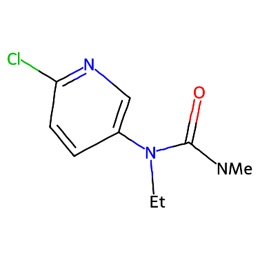 CCN(C(=O)NC)c1ccc(Cl)nc1